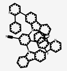 N#Cc1cc(-n2c3ccccc3c3ccc(-c4cccnc4-c4ccccc4)cc32)c(-c2cc(F)cc(F)c2)c(-n2c3ccccc3c3ccc(-c4cccnc4-c4ccccc4)cc32)c1